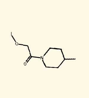 CC1CCN(C(=O)COI)CC1